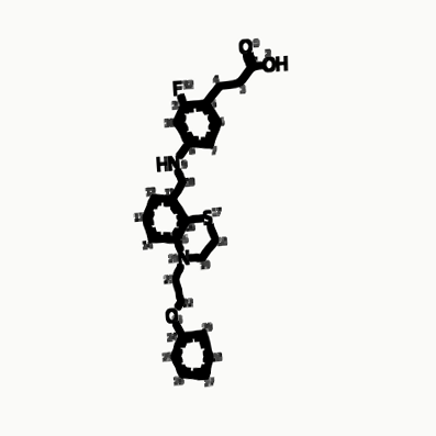 O=C(O)CCc1ccc(NCc2cccc3c2SCCN3CCOc2ccccc2)cc1F